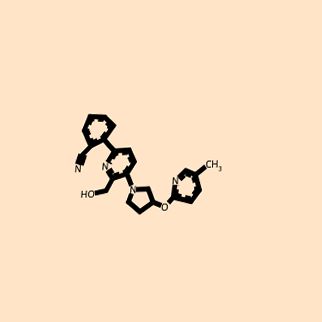 Cc1ccc(OC2CCN(c3ccc(-c4ccccc4C#N)nc3CO)C2)nc1